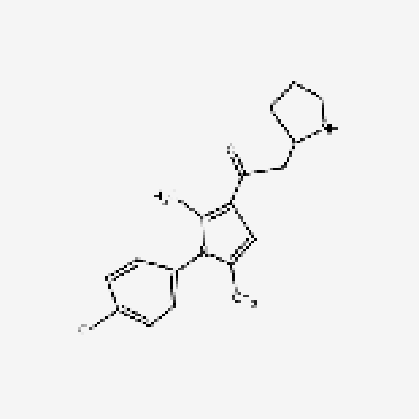 Cc1cc(C(=O)CC2CCCN2)c(C)n1-c1ccc(Cl)cc1